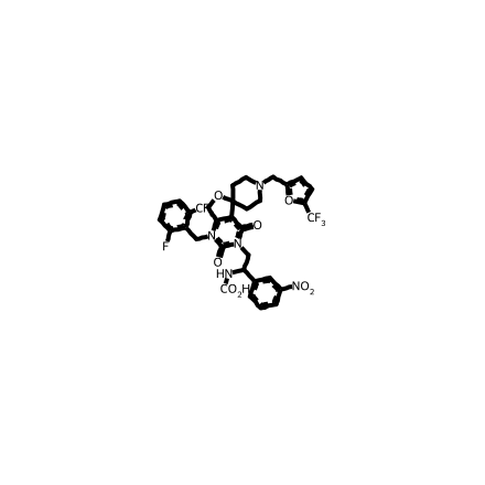 O=C(O)NC(Cn1c(=O)c2c(n(Cc3c(F)cccc3C(F)(F)F)c1=O)COC21CCN(Cc2ccc(C(F)(F)F)o2)CC1)c1cccc([N+](=O)[O-])c1